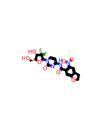 O=C(Nc1ccn(C2O[C@H](CO)[C@@H](O)C2(F)F)c(=O)n1)c1cc2c(cc1[N+](=O)[O-])CCO2